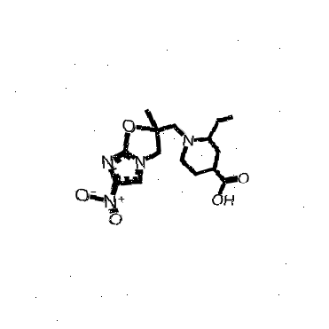 CCC1CC(C(=O)O)CCN1CC1(C)Cn2cc([N+](=O)[O-])nc2O1